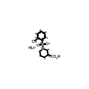 O=C(O)C1CCCN(S(=O)(=O)c2ccccc2Cl)C1.[LiH]